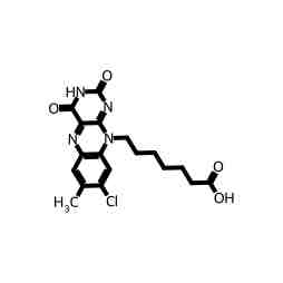 Cc1cc2nc3c(=O)[nH]c(=O)nc-3n(CCCCCCC(=O)O)c2cc1Cl